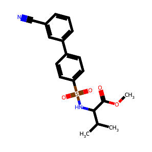 COC(=O)C(NS(=O)(=O)c1ccc(-c2cccc(C#N)c2)cc1)C(C)C